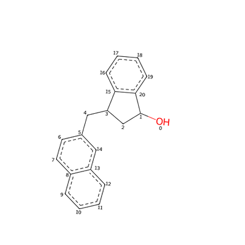 OC1CC(Cc2ccc3ccccc3c2)c2ccccc21